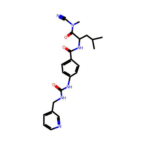 CC(C)CC(NC(=O)c1ccc(NC(=O)NCc2cccnc2)cc1)C(=O)N(C)C#N